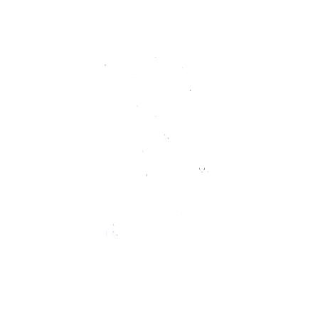 COc1cc(F)c(N)cc1CN1CCOc2ccc(F)cc21